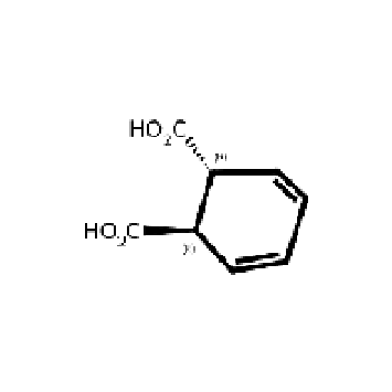 O=C(O)[C@@H]1C=CC=C[C@H]1C(=O)O